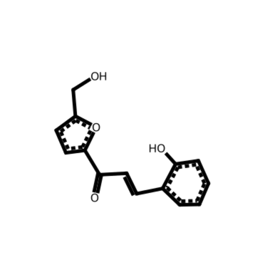 O=C(C=Cc1ccccc1O)c1ccc(CO)o1